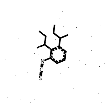 CCC(C)c1cccc(N=C=S)c1C(C)CC